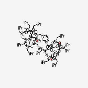 CC(C)C[Si]12O[Si]3(CC(C)C)O[Si]4(CC(C)C)O[Si](CC(C)C)(O1)O[Si]1(CC(C)C)O[Si](CC(C)C)(O2)O[Si](CC(C)C)(O3)O[Si](Cn2cc[n+](C[Si]35O[Si]6(CC(C)C)O[Si]7(CC(C)C)O[Si]8(CC(C)C)O[Si](CC(C)C)(O6)O[Si](CC(C)C)(O[Si](CC(C)C)(O8)O[Si](CC(C)C)(O7)O3)O5)c2)(O4)O1